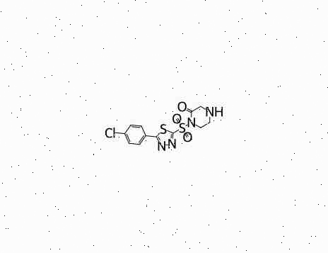 O=C1CNCCN1S(=O)(=O)c1nnc(-c2ccc(Cl)cc2)s1